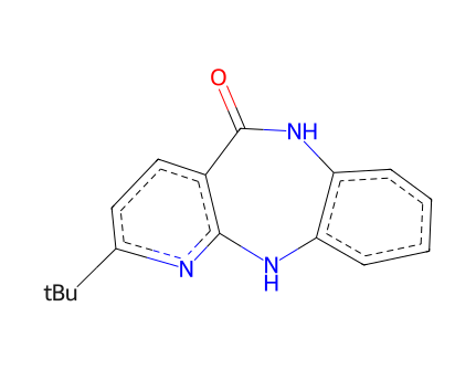 CC(C)(C)c1ccc2c(n1)Nc1ccccc1NC2=O